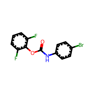 O=C(Nc1ccc(Br)cc1)Oc1c(F)cccc1F